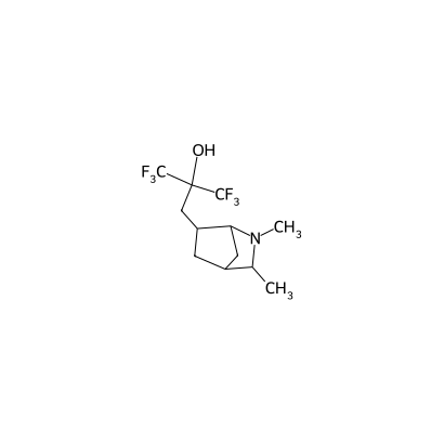 CC1C2CC(CC(O)(C(F)(F)F)C(F)(F)F)C(C2)N1C